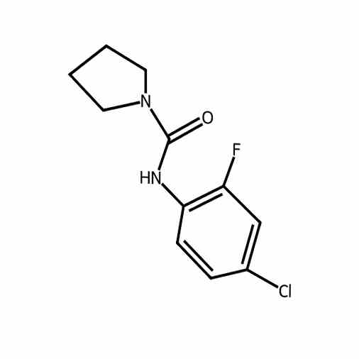 O=C(Nc1ccc(Cl)cc1F)N1CCCC1